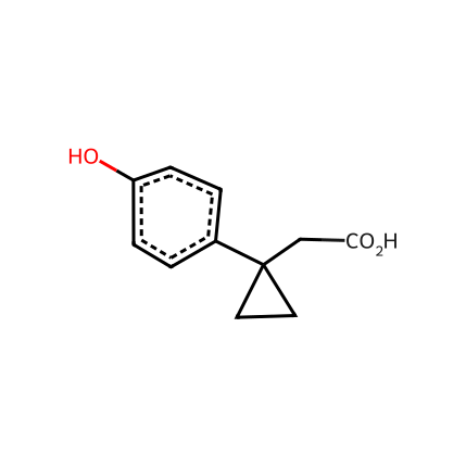 O=C(O)CC1(c2ccc(O)cc2)CC1